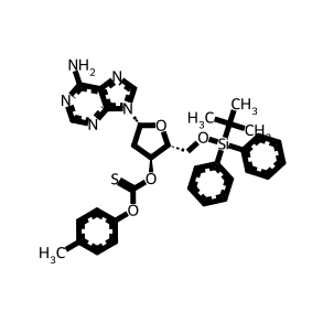 Cc1ccc(OC(=S)O[C@H]2C[C@H](n3cnc4c(N)ncnc43)O[C@@H]2CO[Si](c2ccccc2)(c2ccccc2)C(C)(C)C)cc1